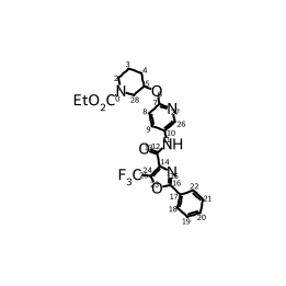 CCOC(=O)N1CCCC(Oc2ccc(NC(=O)c3nc(-c4ccccc4)oc3C(F)(F)F)cn2)C1